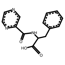 O=C(NC(Cc1ccccc1)C(=O)O)c1cnccn1